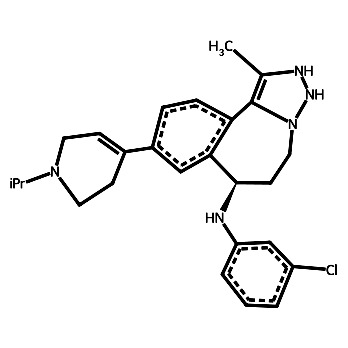 CC1=C2c3ccc(C4=CCN(C(C)C)CC4)cc3[C@H](Nc3cccc(Cl)c3)CCN2NN1